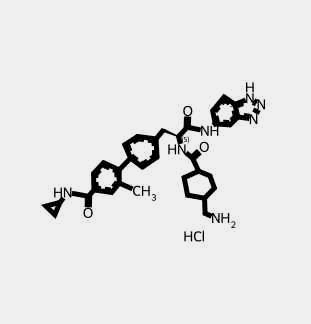 Cc1cc(C(=O)NC2CC2)ccc1-c1ccc(C[C@H](NC(=O)C2CCC(CN)CC2)C(=O)Nc2ccc3[nH]nnc3c2)cc1.Cl